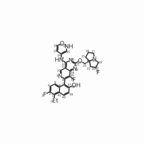 CCc1c(F)ccc2c(-c3ncc4c(NC5=CNOC=C5)nc(OC[C@@]56CCCN5C[C@H](F)C6)nc4c3F)c(O)ccc12